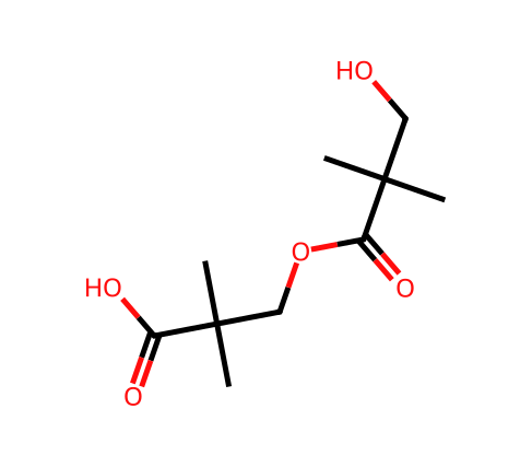 CC(C)(COC(=O)C(C)(C)CO)C(=O)O